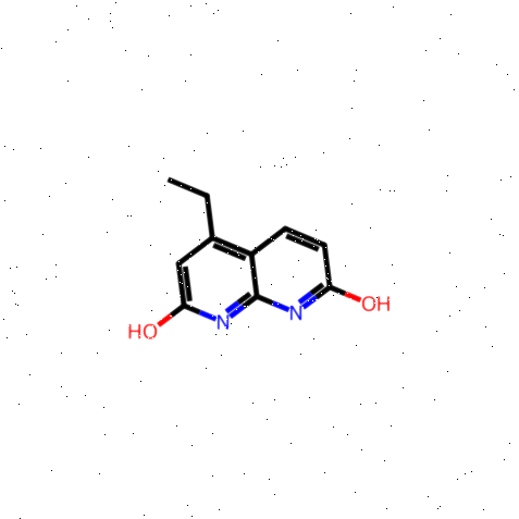 CCc1cc(O)nc2nc(O)ccc12